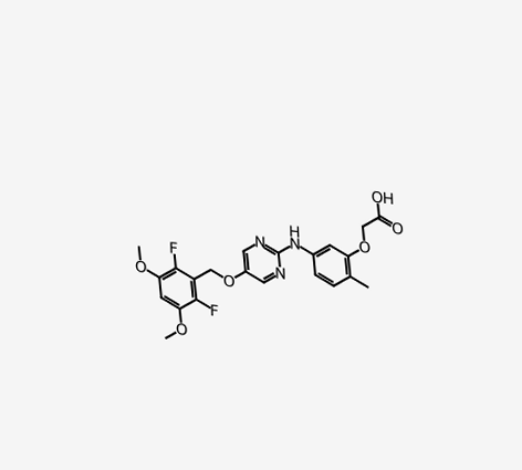 COc1cc(OC)c(F)c(COc2cnc(Nc3ccc(C)c(OCC(=O)O)c3)nc2)c1F